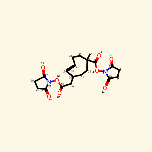 CC1(C(=O)ON2C(=O)CCC2=O)CC/C=C/C(CC(=O)ON2C(=O)CCC2=O)CC1